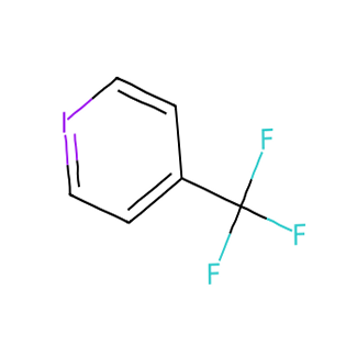 FC(F)(F)C1=CC=IC=C1